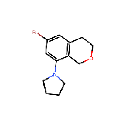 Brc1cc2c(c(N3CCCC3)c1)COCC2